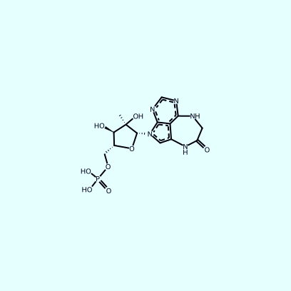 C[C@@]1(O)[C@H](O)[C@@H](COP(=O)(O)O)O[C@H]1n1cc2c3c(ncnc31)NCC(=O)N2